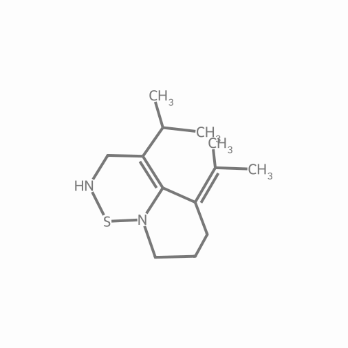 CC(C)=C1CCCN2SNCC(C(C)C)=C12